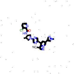 CC1CN(c2cnc(-c3cc(-c4cnn(C)c4)cn4ncc(C#N)c34)cn2)C[C@H]1NC(=O)c1ncccc1Cl